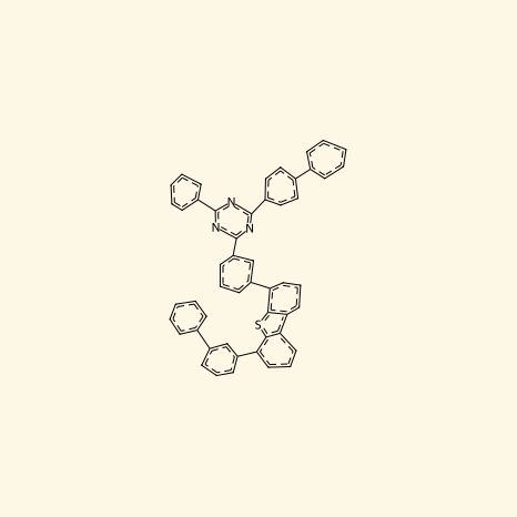 c1ccc(-c2ccc(-c3nc(-c4ccccc4)nc(-c4cccc(-c5cccc6c5sc5c(-c7cccc(-c8ccccc8)c7)cccc56)c4)n3)cc2)cc1